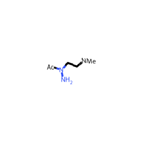 CNCCN(N)C(C)=O